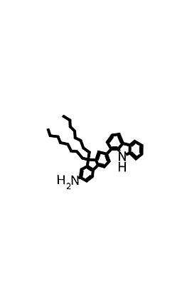 CCCCCCCCC1(CCCCCCCC)c2cc(N)ccc2-c2ccc(-c3cccc4c3[nH]c3ccccc34)cc21